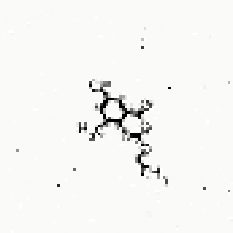 CCOc1nc2c(C)cc(Cl)cc2c(=O)o1